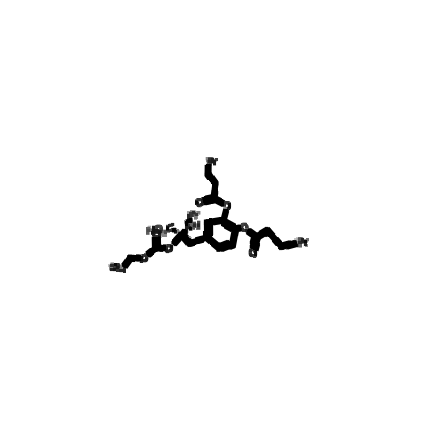 CC(C)CCC(=O)Oc1ccc(C[C@](NC(C)C)(OC(=O)OCC(C)(C)C)C(=O)O)cc1OC(=O)CCC(C)C